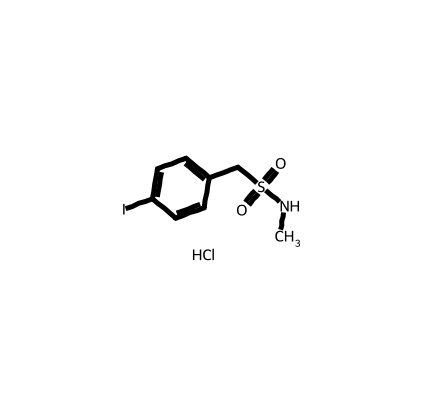 CNS(=O)(=O)Cc1ccc(I)cc1.Cl